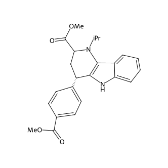 COC(=O)c1ccc([C@@H]2CC(C(=O)OC)N(C(C)C)c3c2[nH]c2ccccc32)cc1